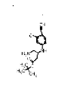 C#Cc1ccc(N[C@H](CN)CC(=O)OC(C)(C)C)cc1Cl